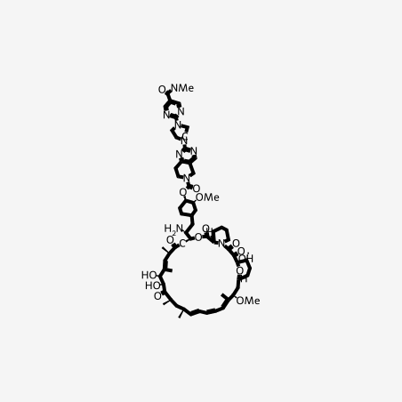 CNC(=O)c1cnc(N2CCN(c3ncc4c(n3)CCN(C(=O)O[C@@H]3CCC(C[C@@H](N)[C@@H]5CC(=O)[C@H](C)/C=C(\C)[C@@H](O)[C@@H](O)C(=O)[C@H](C)C[C@H](C)/C=C/C=C/C=C(\C)[C@@H](OC)C[C@@H]6CC[C@@H](C)[C@@](O)(O6)C(=O)C(=O)N6CCCC[C@H]6C(=O)O5)C[C@H]3OC)C4)CC2)nc1